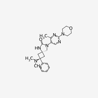 Cc1nc(N2CCOCC2)ncc1N1C[C@]2(C[C@](c3ccccc3)(N(C)C)C2)NC1=O